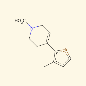 Cc1ccsc1C1=CCN(C(=O)O)CC1